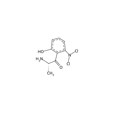 C[C@H](N)C(=O)c1c(O)cccc1N(Cl)Cl